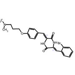 CN(C)CCCOc1ccc(/C=c2\[nH]c(=O)/c(=C/c3ccccc3Br)[nH]c2=O)cc1